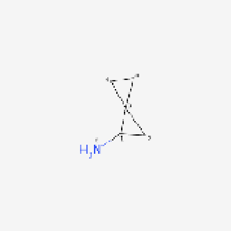 NC1CC12CC2